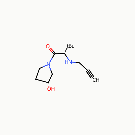 C#CCN[C@H](C(=O)N1CC[C@@H](O)C1)C(C)(C)C